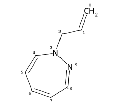 C=CCN1C=CC=C[C]=N1